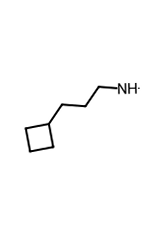 [NH]CCCC1CCC1